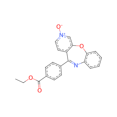 CCOC(=O)c1ccc(C2=Nc3ccccc3Oc3c[n+]([O-])ccc32)cc1